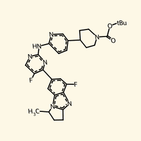 CC1CCc2nc3c(F)cc(-c4nc(Nc5ccc(C6CCN(C(=O)OC(C)(C)C)CC6)cn5)ncc4F)cc3n21